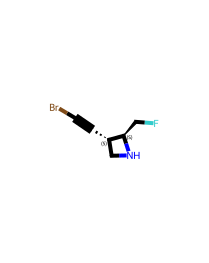 FC[C@H]1NC[C@@H]1C#CBr